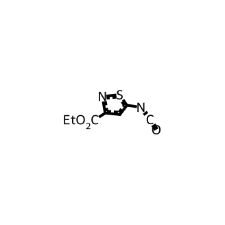 CCOC(=O)c1cc(N=C=O)sn1